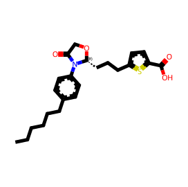 CCCCCCc1ccc(N2C(=O)CO[C@@H]2CCCc2ccc(C(=O)O)s2)cc1